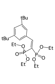 CCOP(=O)(OCC)C(=Cc1cc(C(C)(C)C)cc(C(C)(C)C)c1)P(=O)(OCC)OCC